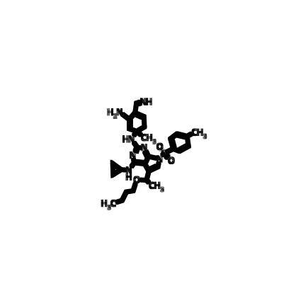 CCCCOC(C)c1cn(S(=O)(=O)c2ccc(C)cc2)c2nc(NC3(C)C=C(N)C(C=N)=CC3)nc(NC3CC3)c12